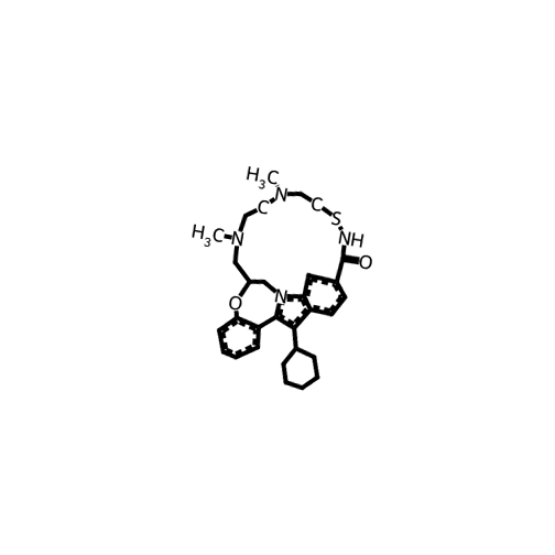 CN1CCSNC(=O)c2ccc3c(C4CCCCC4)c4n(c3c2)CC(CN(C)CC1)Oc1ccccc1-4